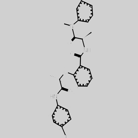 C[C@H](Oc1ccccc1C(=O)N[C@H](C)C(=O)N(C)c1ccccc1)C(=O)Nc1ccc(I)cc1